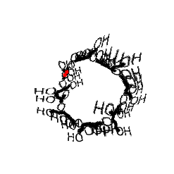 OCCC1OC(O)/C(O)=C(/O)C(CCO)OC(O)/C(O)=C(\O)C(CCO)OC(O)/C(O)=C(/O)C(CCO)OC(O)/C(O)=C(/O)C(CCO)OC2OC(CO)C(OC3OC(CO)C(OC(O)/C(O)=C(/O)C(CCO)OC(O)/C(O)=C\1O)C(O)C3O)C(O)C2O